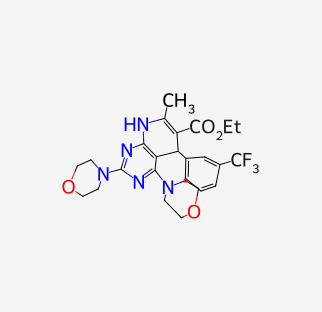 CCOC(=O)C1=C(C)Nc2nc(N3CCOCC3)nc(N3CCOCC3)c2C1c1cccc(C(F)(F)F)c1